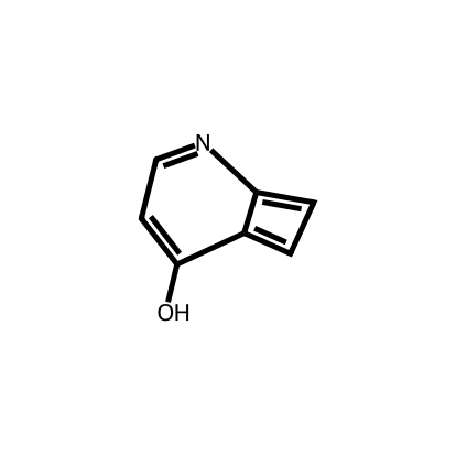 Oc1ccnc2c1=CC=2